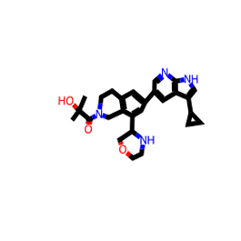 CC(C)(O)C(=O)N1CCc2cc(-c3cnc4[nH]cc(C5CC5)c4c3)cc(C3COCCN3)c2C1